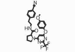 COc1ccc(Oc2cc(N3CCCC3C(=O)NCCc3ccc(C#N)cc3)nc(C(F)(F)F)n2)cc1